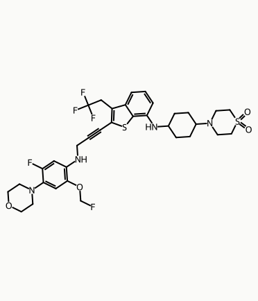 O=S1(=O)CCN(C2CCC(Nc3cccc4c(CC(F)(F)F)c(C#CCNc5cc(F)c(N6CCOCC6)cc5OCF)sc34)CC2)CC1